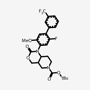 COc1cc(-c2cccc(C(F)(F)F)c2)c(F)cc1N1C(=O)OCC2CN(C(=O)OC(C)(C)C)CCC21